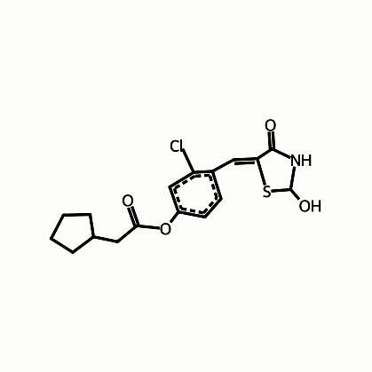 O=C(CC1CCCC1)Oc1ccc(/C=C2\SC(O)NC2=O)c(Cl)c1